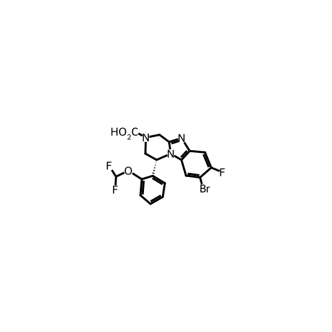 O=C(O)N1Cc2nc3cc(F)c(Br)cc3n2[C@H](c2ccccc2OC(F)F)C1